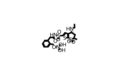 CCN[C@H]1CC(C)S(=O)(=O)c2sc(S(=O)(=O)NC(=O)Cc3ccccc3CON(O)O)cc21